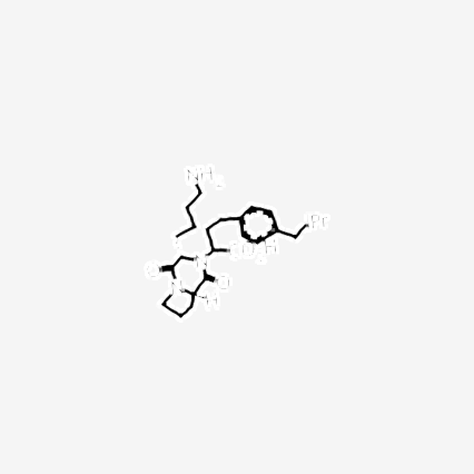 CC(C)Cc1ccc(CCC(C(=O)O)N2C(=O)[C@@H]3CCCN3C(=O)[C@@H]2CCCCN)cc1